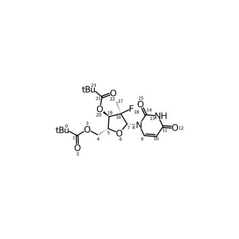 CC(C)(C)C(=O)OC[C@H]1O[C@@H](n2ccc(=O)[nH]c2=O)[C@](C)(F)[C@@H]1OC(=O)C(C)(C)C